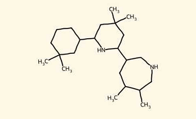 CC1CNCC(C2CC(C)(C)CC(C3CCCC(C)(C)C3)N2)CC1C